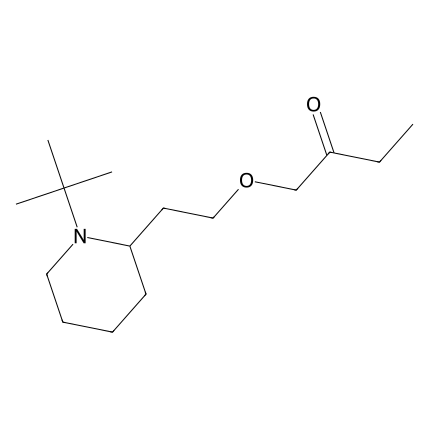 CCC(=O)COCCC1CCCCN1C(C)(C)C